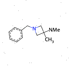 CNC1(C)CN(Cc2ccccc2)C1